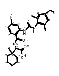 CCc1cc(C)c(NC(=O)Nc2cc(F)ccc2C(=O)N[C@H](C(=O)O)C2(C)CCCCC2)c(C)c1